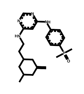 C=C1CC(C)CC(CCNc2cc(Nc3ccc(P(C)(C)=O)cc3)ncn2)C1